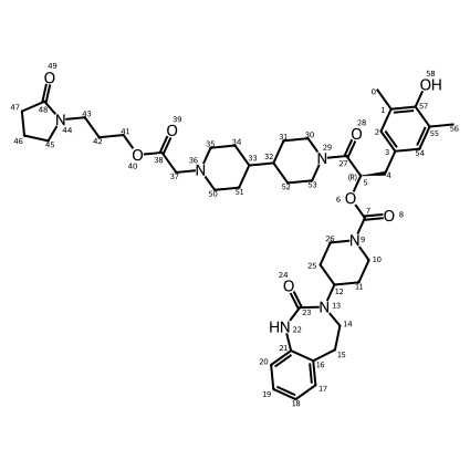 Cc1cc(C[C@@H](OC(=O)N2CCC(N3CCc4ccccc4NC3=O)CC2)C(=O)N2CCC(C3CCN(CC(=O)OCCCN4CCCC4=O)CC3)CC2)cc(C)c1O